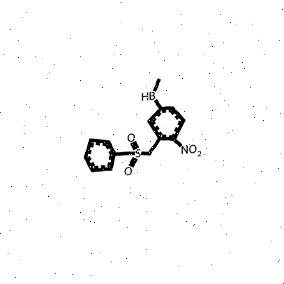 CBc1ccc([N+](=O)[O-])c(CS(=O)(=O)c2ccccc2)c1